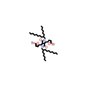 CCCCCCCCC(CCCCCC)CN1C(=O)C2=C(C3CC=C(Br)O3)N(CC(CCCCCC)CCCCCCCC)C(=O)C2=C1c1ccc(Br)o1